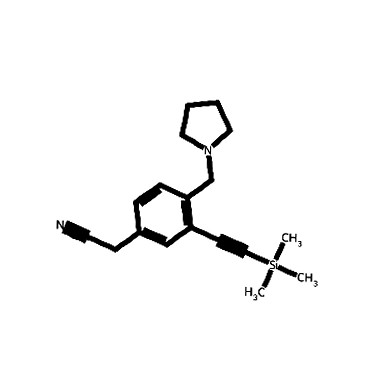 C[Si](C)(C)C#Cc1cc(CC#N)ccc1CN1CCCC1